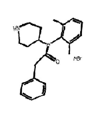 Br.Cc1cccc(C)c1N(C(=O)Cc1ccccc1)C1CCNCC1